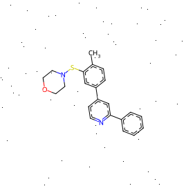 Cc1ccc(-c2ccnc(-c3ccccc3)c2)cc1SN1CCOCC1